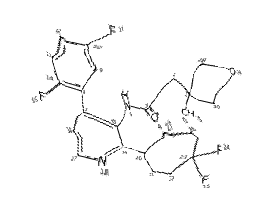 CC1(CC(=O)Nc2c(-c3cc(F)ccc3F)ccnc2C2CCC(F)(F)CC2)COC1